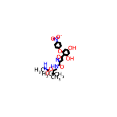 CNC(=O)OC(CNC(=O)c1cc(-c2c(O)cc(O)cc2Oc2ccc([N+](=O)[O-])cc2)on1)C(C)(C)C